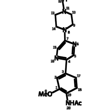 COc1cc(-c2cnc(N3CCN(C(C)C)CC3)cn2)ccc1NC(C)=O